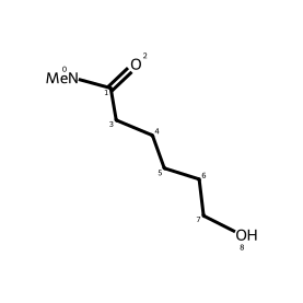 CNC(=O)CCCCCO